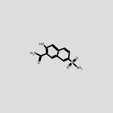 NC(=O)c1cc2cc(S(N)(=O)=O)ccc2cc1O